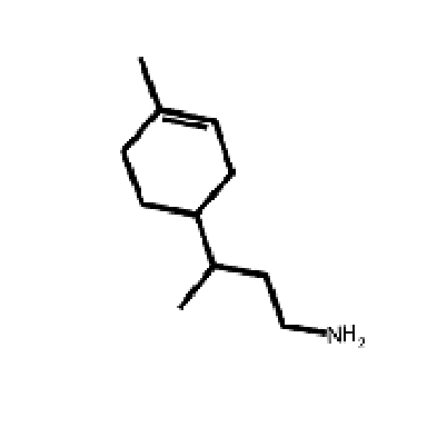 CC1=CCC(C(C)CCN)CC1